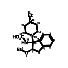 CCO[C@@H]1Cc2ccccc2[C@@]1(NC(=O)O)N1CCN(CC)CC1